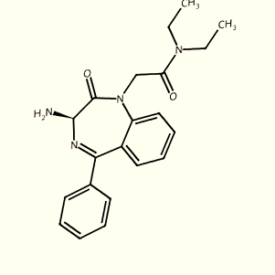 CCN(CC)C(=O)CN1C(=O)[C@H](N)N=C(c2ccccc2)c2ccccc21